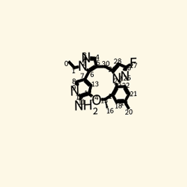 CCn1ncc2c1-c1cnc(N)c(c1)O[C@H](C)c1cc(C)ccc1-n1nc(F)cc1C2